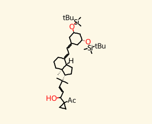 CC(=O)C1(C(O)/C=C/C(C)(C)[C@H]2CC[C@H]3/C(=C/C=C4C[C@@H](O[Si](C)(C)C(C)(C)C)C[C@H](O[Si](C)(C)C(C)(C)C)C4)CCC[C@]23C)CC1